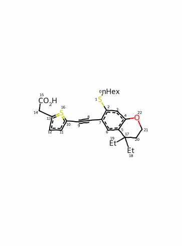 CCCCCCSc1cc2c(cc1C#Cc1ccc(CC(=O)O)s1)C(CC)(CC)CCO2